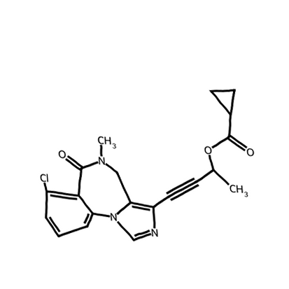 CC(C#Cc1ncn2c1CN(C)C(=O)c1c(Cl)cccc1-2)OC(=O)C1CC1